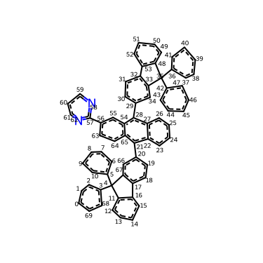 c1ccc(C2(c3ccccc3)c3ccccc3-c3ccc(-c4c5ccccc5c(-c5ccc6c(c5)C(c5ccccc5)(c5ccccc5)c5ccccc5-6)c5cc(-c6ncccn6)ccc45)cc32)cc1